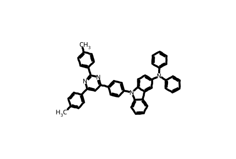 Cc1ccc(-c2cc(-c3ccc(-n4c5ccccc5c5cc(N(c6ccccc6)c6ccccc6)ccc54)cc3)nc(-c3ccc(C)cc3)n2)cc1